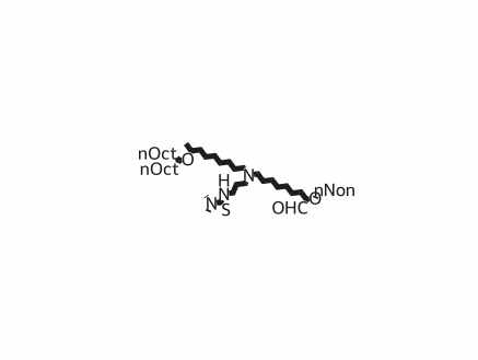 CCCCCCCCCOC(C=O)CCCCCCCN(CCCCCCCC(C)OC(CCCCCCCC)CCCCCCCC)CCCNC(=S)N(C)C